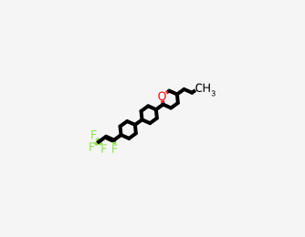 CCCC1CCC(C2CCC(C3CCC(/C(F)=C/C(F)(F)F)CC3)CC2)OC1